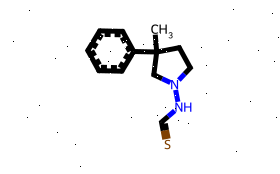 CC1(c2ccccc2)CCN(NC=S)C1